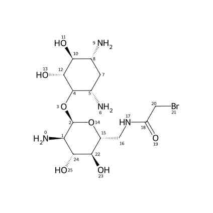 N[C@H]1[C@@H](OC2[C@@H](N)C[C@@H](N)[C@H](O)[C@H]2O)O[C@H](CNC(=O)CBr)[C@@H](O)[C@@H]1O